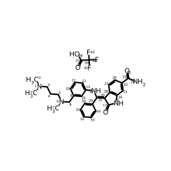 CN(C)CCCN(C)Cc1cccc(NC(=C2C(=O)Nc3cc(C(N)=O)ccc32)c2ccccc2)c1.O=C(O)C(F)(F)F